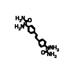 NC(=O)N(N)c1ccc(C=Cc2ccc(N(N)C(N)=O)cc2)cc1